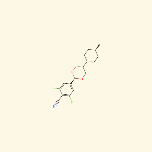 C[C@H]1CC[C@H]([C@H]2CO[C@H](c3cc(F)c(C#N)c(F)c3)OC2)CC1